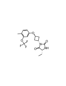 CC[C@H]1NC(=O)N([C@H]2C[C@H](Oc3ccc(C)c(OC(F)(F)F)c3)C2)C1=O